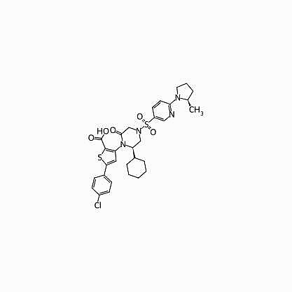 C[C@@H]1CCCN1c1ccc(S(=O)(=O)N2CC(=O)N(c3cc(-c4ccc(Cl)cc4)sc3C(=O)O)[C@H](C3CCCCC3)C2)cn1